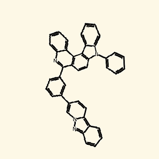 c1ccc(-n2c3ccccc3c3c4c(ccc32)c(-c2cccc(-c3ccc5c6ccccc6nn5c3)c2)nc2ccccc24)cc1